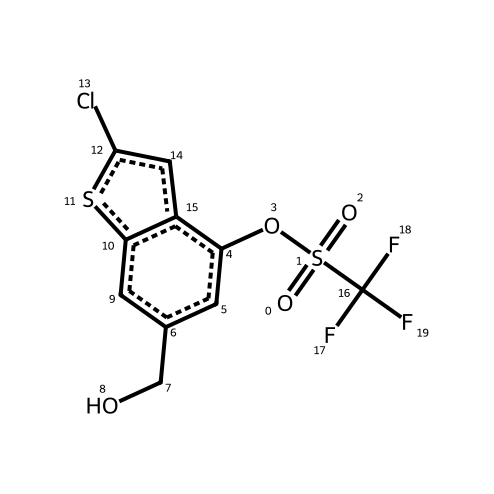 O=S(=O)(Oc1cc(CO)cc2sc(Cl)cc12)C(F)(F)F